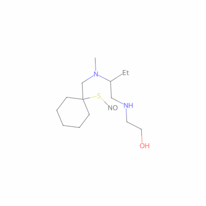 CCC(CNCCO)N(C)CC1(SN=O)CCCCC1